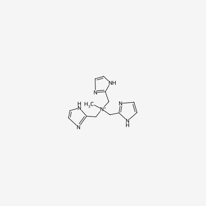 C[N+](Cc1ncc[nH]1)(Cc1ncc[nH]1)Cc1ncc[nH]1